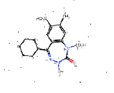 Cc1cc2c(cc1C(=O)O)C(C1CCCCC1)=NN(C(C)C)C(=O)N2C(=O)O